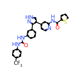 O=C(Nc1ccc(C(F)(F)F)cc1)Nc1cccc(-c2n[nH]cc2-c2ccnc(NC(=O)c3cccs3)c2)c1